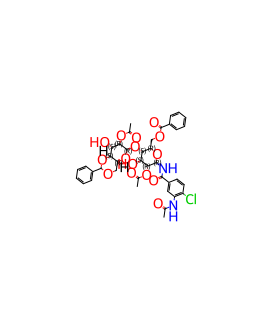 CC(=O)Nc1cc(C(=O)N[C@@H]2O[C@H](COC(=O)c3ccccc3)[C@@H](O[C@H]3O[C@@H]4COC(c5ccccc5)O[C@H]4[C@H](O)[C@H]3OC(C)=O)[C@H](O)[C@H]2OC(C)=O)ccc1Cl